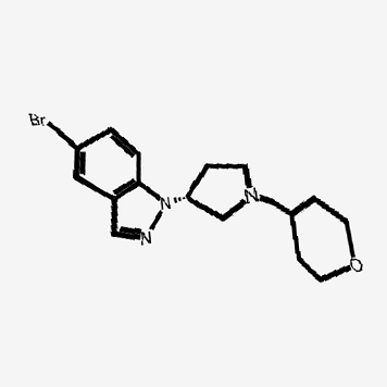 Brc1ccc2c(cnn2[C@@H]2CCN(C3CCOCC3)C2)c1